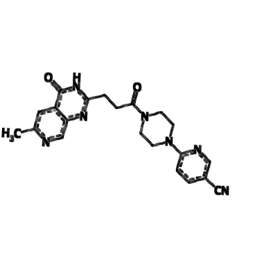 Cc1cc2c(=O)[nH]c(CCC(=O)N3CCN(c4ccc(C#N)cn4)CC3)nc2cn1